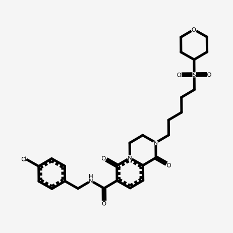 O=C(NCc1ccc(Cl)cc1)c1ccc2n(c1=O)CCN(CCCCCS(=O)(=O)C1CCOCC1)C2=O